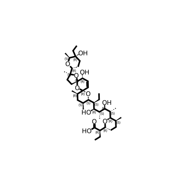 CC[C@@H]([C@H](O)[C@@H](C)[C@@H](O)[C@H](C)[C@@H]1O[C@@H]([C@@H](CC)C(=O)O)CC[C@@H]1C)[C@H]1O[C@]2(C=C[C@@H](O)[C@]3(CC[C@@](C)([C@H]4CC[C@](O)(CC)[C@H](C)O4)O3)O2)[C@H](C)C[C@@H]1C